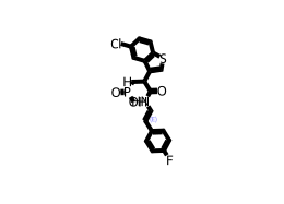 O=C(N/C=C/c1ccc(F)cc1)C(C[PH](=O)O)c1csc2ccc(Cl)cc12